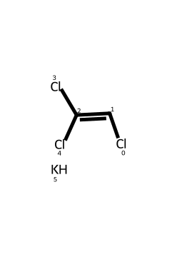 ClC=C(Cl)Cl.[KH]